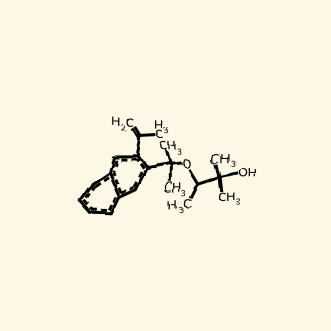 C=C(C)c1cc2ccccc2cc1C(C)(C)OC(C)C(C)(C)O